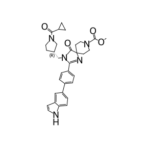 COC(=O)N1CCC2(CC1)N=C(c1ccc(-c3ccc4[nH]ccc4c3)cc1)N(C[C@@H]1CCN(C(=O)C3CC3)C1)C2=O